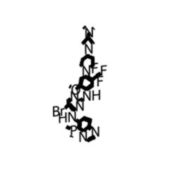 COc1cc(N2CCC(N3CC(N(C)C)C3)CC2)c(C(F)(F)F)cc1Nc1ncc(Br)c(Nc2ccc3nccnc3c2P(C)C)n1